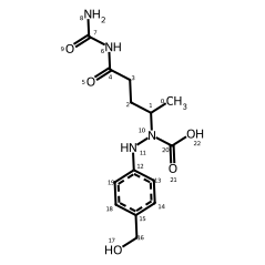 CC(CCC(=O)NC(N)=O)N(Nc1ccc(CO)cc1)C(=O)O